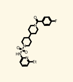 CCc1cccc(NS(=O)(=O)N2CCC(C3CCN(C(=O)c4ccc(F)cc4)CC3)CC2)n1